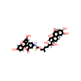 CC(CC[C@@H](O)[C@](C)(O)[C@H]1CC[C@@]2(O)C3=CC(=O)[C@@H]4C[C@@H](O)[C@@H](O)C[C@]4(C)C3CC[C@]12C)COC(=S)Nc1ccc2c(c1)C(=O)OC21c2ccc(O)cc2Oc2cc(O)ccc21